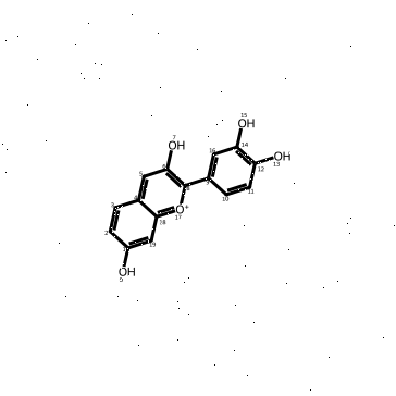 Oc1ccc2cc(O)c(-c3ccc(O)c(O)c3)[o+]c2c1